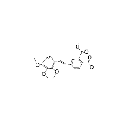 COC(=O)c1ccc(C=Cc2ccc(OC)c(OC)c2OC)cc1C(=O)OC